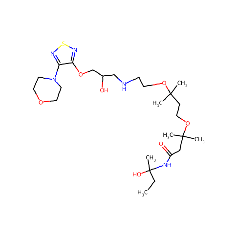 CCC(C)(O)NC(=O)CC(C)(C)OCCC(C)(C)OCCNCC(O)COc1nsnc1N1CCOCC1